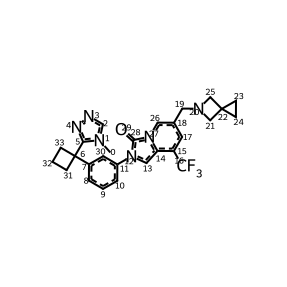 Cn1cnnc1C1(c2cccc(-n3cc4c(C(F)(F)F)cc(CN5CC6(CC6)C5)cn4c3=O)c2)CCC1